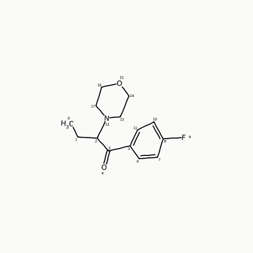 CCC(C(=O)c1ccc(F)cc1)N1CCOCC1